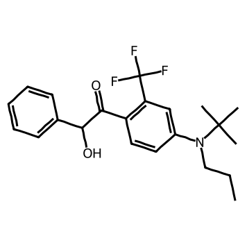 CCCN(c1ccc(C(=O)C(O)c2ccccc2)c(C(F)(F)F)c1)C(C)(C)C